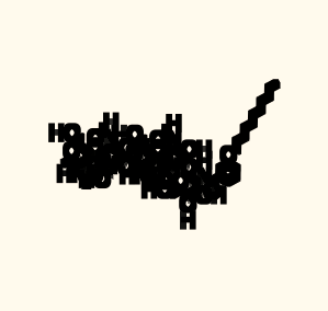 CCCCCCCCCCCOc1cccc(C(=O)N[C@@H]2C(O[C@H]3C(O)C(NC(C)=O)C(OC4C(CO)O[C@@H](O[C@H]5C(O)C(NC(C)=O)C(OC6C(CO)OC(C)[C@@H](NC(C)=O)[C@H]6O)O[C@H]5CO)[C@@H](NC(C)=O)[C@H]4O)O[C@H]3CO)OC(CO)[C@@H](O)[C@@H]2O)c1